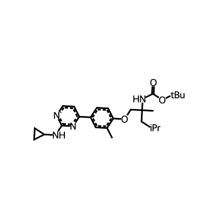 Cc1cc(-c2ccnc(NC3CC3)n2)ccc1OCC(C)(CC(C)C)NC(=O)OC(C)(C)C